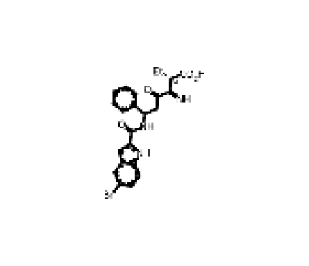 CC[C@@H](C(=N)C(=O)CC(NC(=O)c1cc2cc(Br)ccc2[nH]1)c1ccccc1)C(=O)O